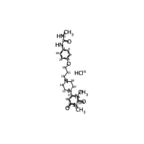 CNC(=O)Nc1ccc(OCCCN2CCN(c3cc(=O)n(C)c(=O)n3C)CC2)cc1.Cl